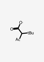 CC(=O)C(C([O])=O)C(C)(C)C